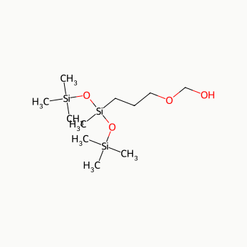 C[Si](C)(C)O[Si](C)(CCCOCO)O[Si](C)(C)C